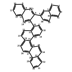 c1ccc2cc(-c3nc4ccccc4nc3-c3cccc4c3ccc3ccc5c6ccccc6ccc5c34)ccc2c1